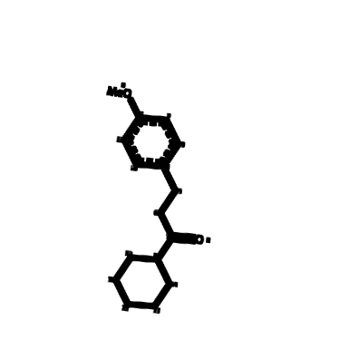 COc1ccc(CCC(=O)C2CCCCC2)cc1